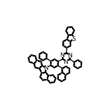 c1ccc(-c2nc(-c3ccc4c(c3)sc3ccccc34)nc(-c3cc(-c4ccccc4)c(-n4c5cc6ccccc6cc5c5ccc6ccccc6c54)cc3-c3cccc4ccccc34)n2)cc1